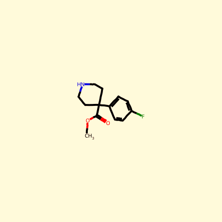 COC(=O)C1(c2ccc(F)cc2)CCNCC1